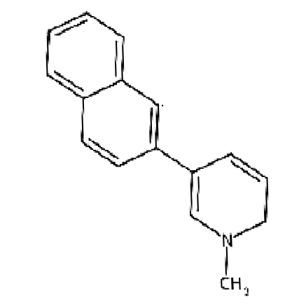 CN1C=C(c2[c]c3ccccc3cc2)C=CC1